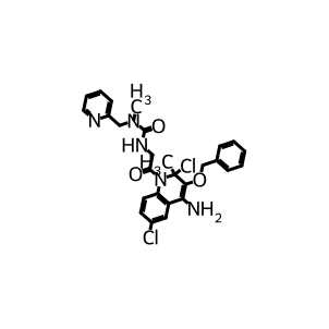 CN(Cc1ccccn1)C(=O)NCC(=O)N1c2ccc(Cl)cc2C(N)=C(OCc2ccccc2)C1(C)Cl